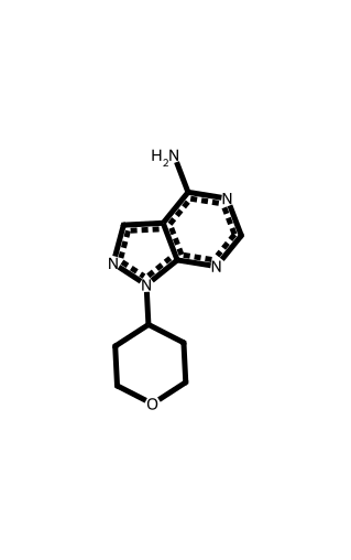 Nc1ncnc2c1cnn2C1CCOCC1